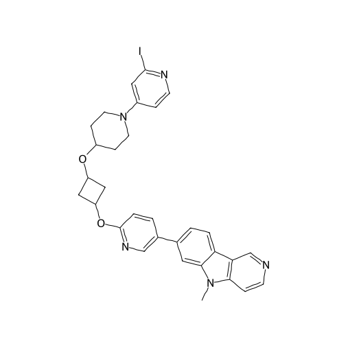 Cn1c2ccncc2c2ccc(-c3ccc(OC4CC(OC5CCN(c6ccnc(I)c6)CC5)C4)nc3)cc21